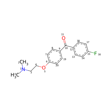 CN(C)CCOc1ccc(C(=O)c2ccc(F)cc2)cc1